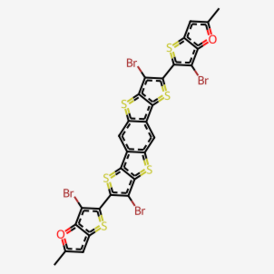 Cc1cc2sc(-c3sc4c(sc5cc6c(cc54)sc4c(Br)c(-c5sc7cc(C)oc7c5Br)sc46)c3Br)c(Br)c2o1